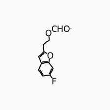 O=[C]OCCc1cc2ccc(F)cc2o1